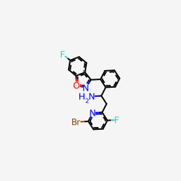 NC(Cc1nc(Br)ccc1F)c1ccccc1-c1noc2cc(F)ccc12